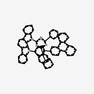 c1ccc(-c2nc(-c3ccccc3)nc(-n3c4ccccc4c4ccc5c6ccccc6n(-c6ccc(-c7ccc8c9ccccc9c9ccccc9c8c7)c(-c7ccccc7)c6)c5c43)n2)cc1